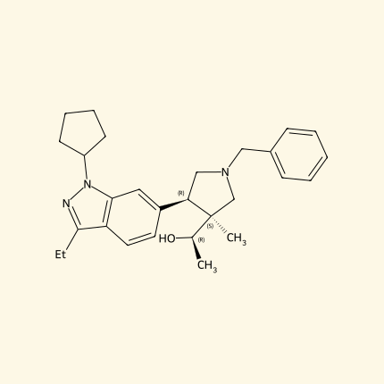 CCc1nn(C2CCCC2)c2cc([C@H]3CN(Cc4ccccc4)C[C@@]3(C)[C@@H](C)O)ccc12